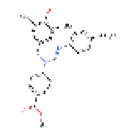 CCCCOC(=O)c1ccc(N(C=Nc2ccc(C(=O)OCC)cc2)Cc2cc(C(C)(C)C)c(O)c(C(C)(C)C)c2)cc1